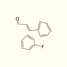 Fc1ccccc1.O=CC=Cc1ccccc1